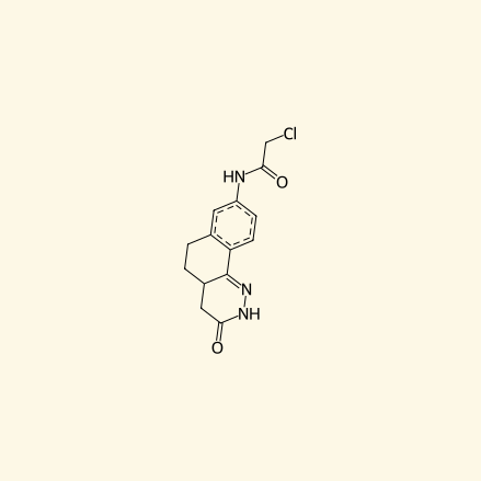 O=C1CC2CCc3cc(NC(=O)CCl)ccc3C2=NN1